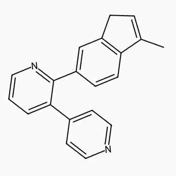 CC1=CCc2cc(-c3ncccc3-c3ccncc3)ccc21